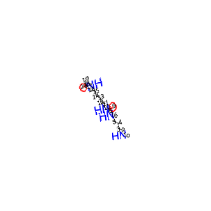 CNCCCCCNC(=O)NCCCCCCNC(C)=O